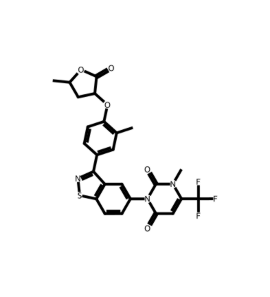 Cc1cc(-c2nsc3ccc(-n4c(=O)cc(C(F)(F)F)n(C)c4=O)cc23)ccc1OC1CC(C)OC1=O